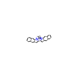 C[Si]1(C)n2c(cc3cc4ccccc4cc32)-c2cc3cc4ccccc4cc3n21